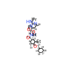 CCOC(CNC(=O)c1cc(C)c(OCc2ccccc2)c(CC)c1)(OCC)c1cc(C)nc(NC(C)C)n1